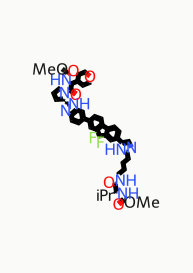 COC(=O)N[C@H](C(=O)NCCCCc1ncc(-c2ccc3c(c2)C(F)(F)c2cc(-c4ccc5nc([C@@H]6CCCN6C(=O)[C@@H](NC(=O)OC)C6CCOCC6)[nH]c5c4)ccc2-3)[nH]1)C(C)C